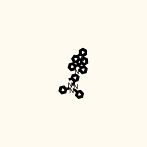 Cc1cc(N2c3ccccc3C(c3ccccc3)(c3cccc4c3sc3ccccc34)c3ccccc32)ccc1-c1nc(-c2ccccc2)nc(-c2ccccc2)n1